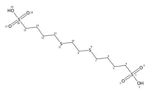 O=S(=O)(O)CCCCSCCSCCCCS(=O)(=O)O